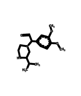 COc1ccc(C(C=O)N2CCNC(C(C)C)C2)cc1OC